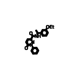 CCOc1cccc(C(C)NC(=O)c2ccc(=O)n(-c3ccccc3)n2)c1